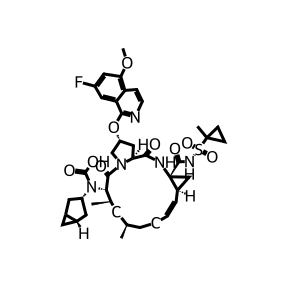 COc1cc(F)cc2c(O[C@@H]3C[C@H]4C(=O)N[C@]5(C(=O)NS(=O)(=O)C6(C)CC6)C[C@H]5/C=C\CC[C@@H](C)C[C@@H](C)[C@H](N(C(=O)O)[C@H]5CC6C[C@H]6C5)C(=O)N4C3)nccc12